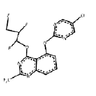 FCC(F)C(F)Oc1nc(C(F)(F)F)nc2cccc(Oc3ncc(Cl)cn3)c12